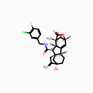 C=C1C[C@]23C[C@@]1(O)CC[C@H]2C1=C[C@H]2OC(=O)[C@@](C)([C@H]1[C@@H]3C(=O)NCc1ccc(F)c(Cl)c1)[C@H]2O